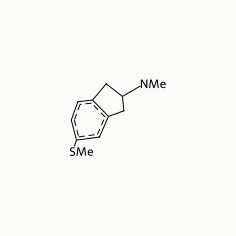 CNC1Cc2ccc(SC)cc2C1